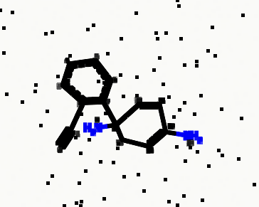 C#Cc1ccccc1C1(N)C=CC(N)=CC1